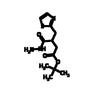 CC(C)(C)OC(=O)CC(Cc1nccs1)C(=O)NN